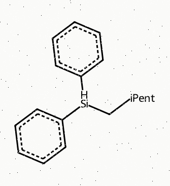 CCCC(C)C[SiH](c1ccccc1)c1ccccc1